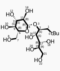 CC(C)(C)C[C@H](O[C@@H]1O[C@H](CO)[C@@H](O)[C@H](O)[C@H]1O)[C@@H](O)[C@H](O)[C@H](O)CO